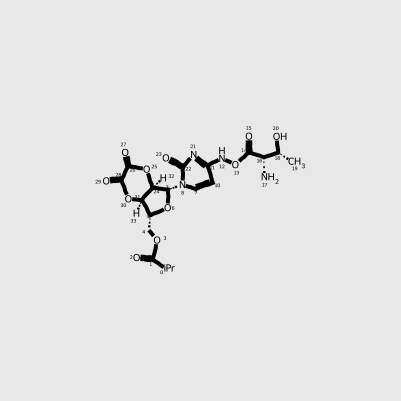 CC(C)C(=O)OC[C@H]1O[C@@H](n2ccc(NOC(=O)[C@@H](N)[C@@H](C)O)nc2=O)[C@@H]2OC(=O)C(=O)O[C@@H]21